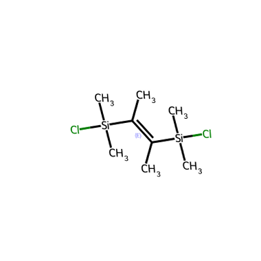 C/C(=C(/C)[Si](C)(C)Cl)[Si](C)(C)Cl